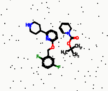 CC(C)(C)OC(=O)N1C=CC=CC1.Fc1ccc(F)c(COc2cccc(C3CCNCC3)n2)c1